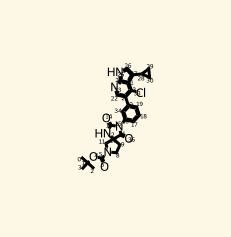 CC(C)(C)OC(=O)N1CCC2(C1)NC(=O)N(c1cccc(-c3cnc4[nH]cc(C5CC5)c4c3Cl)c1)C2=O